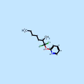 CCCCCC(C)C(F)(F)Oc1ccccn1